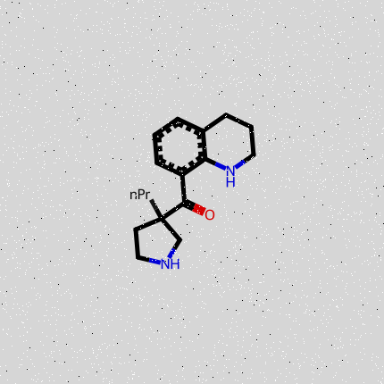 CCCC1(C(=O)c2cccc3c2NCCC3)CCNC1